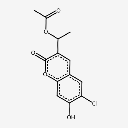 CC(=O)OC(C)c1cc2cc(Cl)c(O)cc2oc1=O